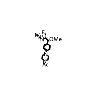 CO[C@H](c1ccc(N2CCN(C(C)=O)CC2)cc1)[C@@H](CF)N=[N+]=[N-]